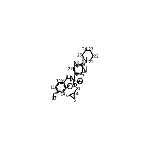 O=S(=O)(CC1CC1)N(Cc1ccc(F)cc1)c1cnc(N2CCCCC2)nc1